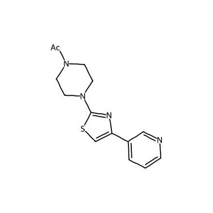 CC(=O)N1CCN(c2nc(-c3cccnc3)cs2)CC1